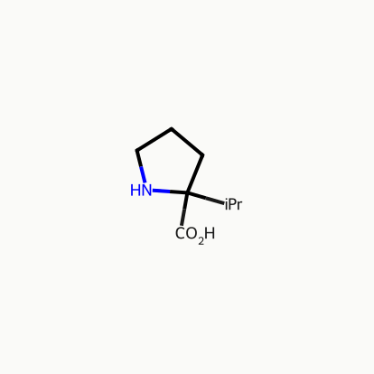 CC(C)C1(C(=O)O)CCCN1